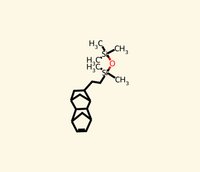 C[Si](C)(C)O[Si](C)(C)CCC1CC2CC1C1C3C=CC(C3)C21